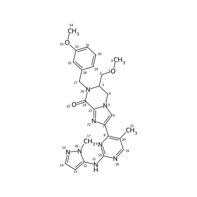 COCC1Cn2cc(-c3nc(Nc4ccnn4C)ncc3C)nc2C(=O)N1Cc1cccc(OC)c1